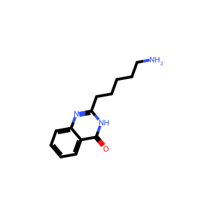 NCCCCCc1nc2ccccc2c(=O)[nH]1